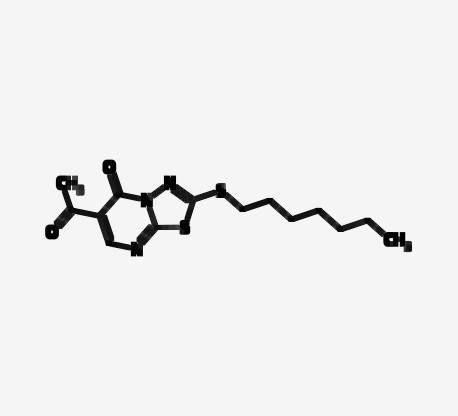 CCCCCCCSc1nn2c(=O)c(C(C)=O)cnc2s1